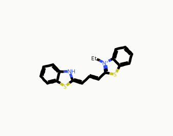 CC[n+]1c(C=CC=C2Nc3ccccc3S2)sc2ccccc21